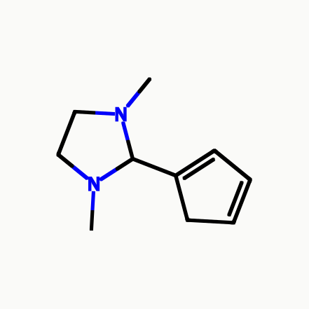 CN1CCN(C)C1C1=CC=CC1